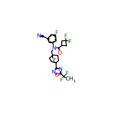 CC(F)(F)c1nc(C23CCC(CN(C(=O)C4CC(F)(F)C4)c4cc(F)cc(C#N)c4)(CC2)CC3)no1